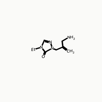 C=C(CN)Cn1ncn(CC)c1=O